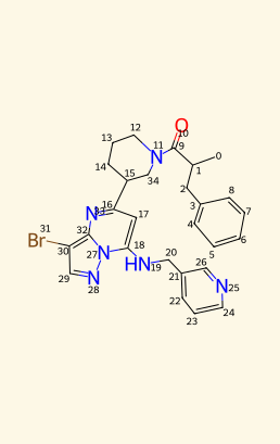 CC(Cc1ccccc1)C(=O)N1CCCC(c2cc(NCc3cccnc3)n3ncc(Br)c3n2)C1